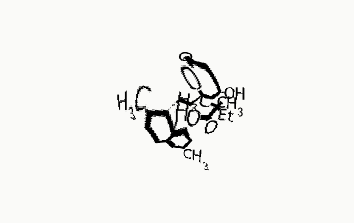 CCC(C)(C)C(=O)O[C@H]1C[C@H](C)C=C2C=C[C@H](C)[C@H](CC[C@@H]3C[C@@H](O)CC(=O)O3)[C@H]21